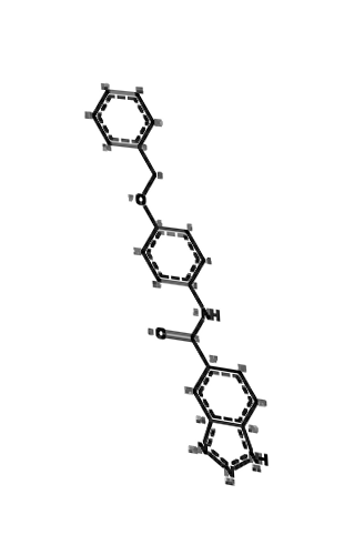 O=C(Nc1ccc(OCc2ccccc2)cc1)c1ccc2[nH]nnc2c1